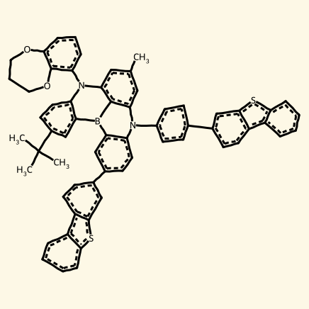 Cc1cc2c3c(c1)N(c1cccc4c1OCCCO4)c1ccc(C(C)(C)C)cc1B3c1cc(-c3ccc4c(c3)sc3ccccc34)ccc1N2c1ccc(-c2ccc3c(c2)sc2ccccc23)cc1